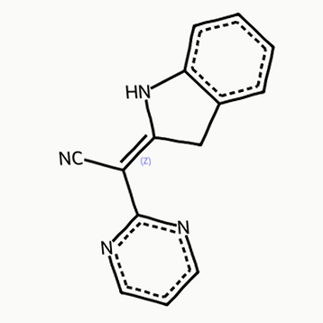 N#C/C(=C1/Cc2ccccc2N1)c1ncccn1